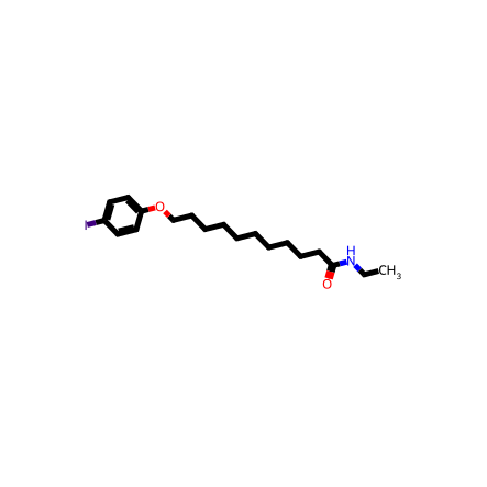 CCNC(=O)CCCCCCCCCCOc1ccc(I)cc1